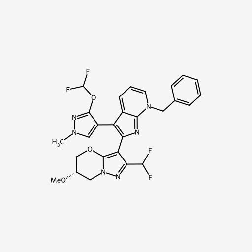 CO[C@@H]1COc2c(-c3nc4n(Cc5ccccc5)cccc-4c3-c3cn(C)nc3OC(F)F)c(C(F)F)nn2C1